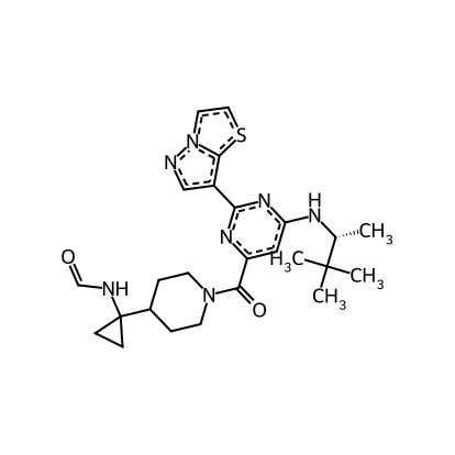 C[C@@H](Nc1cc(C(=O)N2CCC(C3(NC=O)CC3)CC2)nc(-c2cnn3ccsc23)n1)C(C)(C)C